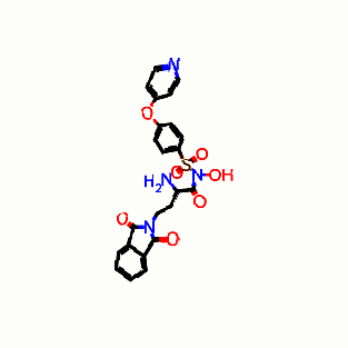 NC(CCN1C(=O)c2ccccc2C1=O)C(=O)N(O)S(=O)(=O)c1ccc(Oc2ccncc2)cc1